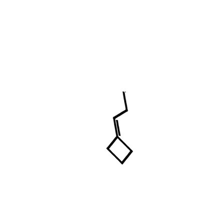 [CH2]CC=C1CCC1